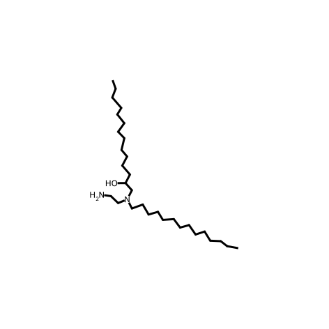 CCCCCCCCCCCCCCN(CCN)CC(O)CCCCCCCCCCCC